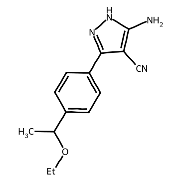 CCOC(C)c1ccc(-c2n[nH]c(N)c2C#N)cc1